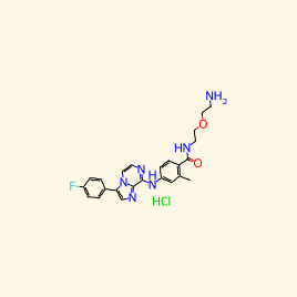 Cc1cc(Nc2nccn3c(-c4ccc(F)cc4)cnc23)ccc1C(=O)NCCOCCN.Cl